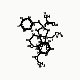 CC[C@@]1(C(=O)O)C[N+](Cc2ccccc2)(C(=O)O)C[C@@]12CCOc1c(OC)cccc12